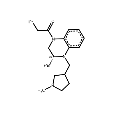 CC(C)CC(=O)N1C[C@@H](C(C)(C)C)N(CC2CCN(C)C2)c2ccccc21